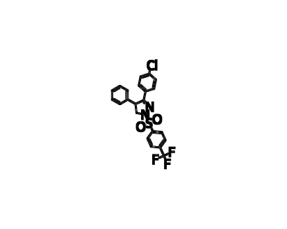 O=S(=O)(c1ccc(C(F)(F)F)cc1)N1CC(c2ccccc2)C(c2ccc(Cl)cc2)=N1